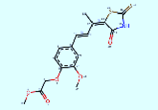 COC(=O)COc1ccc(/C=C/C(C)=C2/SC(=S)NC2=O)cc1OC